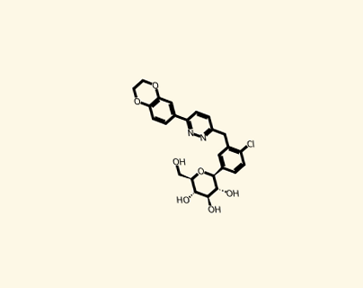 OC[C@H]1O[C@@H](c2ccc(Cl)c(Cc3ccc(-c4ccc5c(c4)OCCO5)nn3)c2)[C@H](O)[C@@H](O)[C@@H]1O